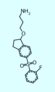 NCCCOC1CCc2cc(S(=O)(=O)c3ccccc3F)ccc21